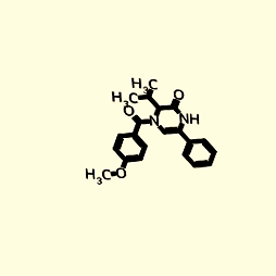 COc1ccc(C(=O)N2C=C(c3ccccc3)NC(=O)C2C(C)C)cc1